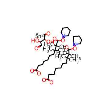 CC(C)(CCCCCCC(=O)[O-])C(C)(C)C(=O)ON1CCCCC1.CC(C)(CCCCCCC(=O)[O-])C(C)(C)C(=O)ON1CCCCC1.O=CC(O)C(O)C=O.[Sn+2]